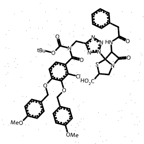 COc1ccc(COc2ccc(C(=O)N(Cc3nnn(C45SC(C(=O)O)CN4C(=O)C5NC(=O)Cc4ccccc4)n3)C(=O)OC(C)(C)C)c(Cl)c2OCc2ccc(OC)cc2)cc1